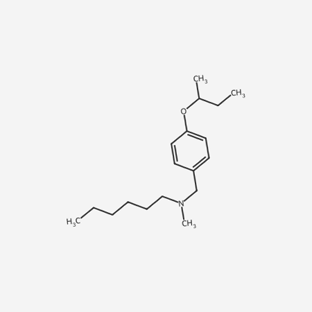 CCCCCCN(C)Cc1ccc(OC(C)CC)cc1